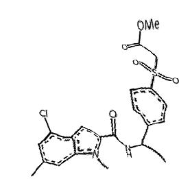 COC(=O)CS(=O)(=O)c1ccc(C(C)NC(=O)c2cc3c(Cl)cc(C)cc3n2C)cc1